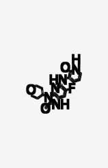 O=c1[nH]cccc1Nc1nc2c(cc1F)[nH]c(=O)n2C1CCOCC1